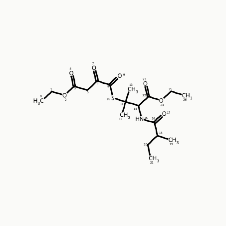 CCOC(=O)CC(=O)C(=O)SC(C)(C)C(NC(=O)C(C)CC)C(=O)OCC